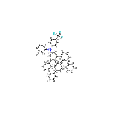 Cc1cccc(N(c2ccc(C(F)(F)F)cc2)c2ccc3c(c2)c2ccccc2c2c(-c4ccccc4)cc(-c4ccccc4)c(-c4ccccc4)c32)c1